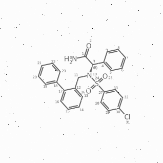 NC(=O)[C@@H](c1ccccc1)N(Cc1ccccc1-c1ccccc1)S(=O)(=O)c1ccc(Cl)cc1